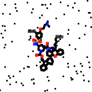 COCCCCC1(CNC(=O)C2CC(NS(=O)(=O)c3ccc(OCCN(C)C)c(OC)c3)CN(C(=O)OCC3c4ccccc4-c4ccccc43)C2)c2ccccc2Oc2ccccc21